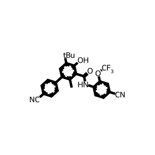 Cc1c(-c2ccc(C#N)cc2)cc(C(C)(C)C)c(O)c1C(=O)Nc1ccc(C#N)cc1OC(F)(F)F